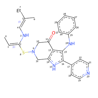 C/C=C(\N/C=C(\C)CC)SN1CC(=O)c2c([nH]c(-c3ccncc3)c2Nc2ccccc2)C1